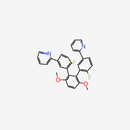 COc1ccc(OC)c(-c2cc(-c3ccccn3)ccc2F)c1-c1cc(-c2ccccn2)ccc1F